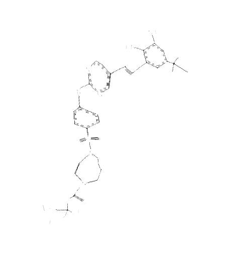 CC(C)(C)OC(=O)N1CCCN(S(=O)(=O)c2ccc(Nc3ncc(C=Cc4cc(C(F)(F)F)cc(N)c4N)cn3)cc2)CC1